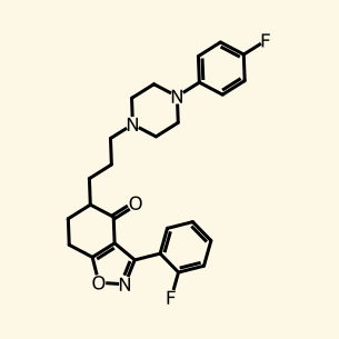 O=C1c2c(-c3ccccc3F)noc2CCC1CCCN1CCN(c2ccc(F)cc2)CC1